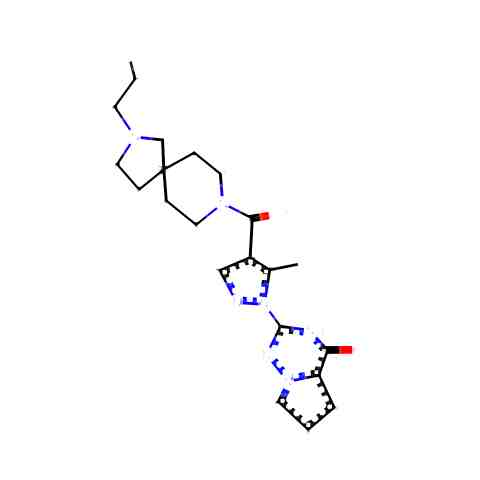 Cc1c(C(=O)N2CCC3(CCN(CCC(F)(F)F)C3)CC2)cnn1-c1nn2cccc2c(=O)[nH]1